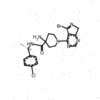 C[C@H](NC(=O)C1(N)CCN(c2ncnc3c2C(Br)=NC3)CC1)c1ccc(Cl)cc1